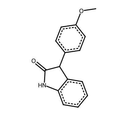 COc1ccc(C2C(=O)Nc3ccccc32)cc1